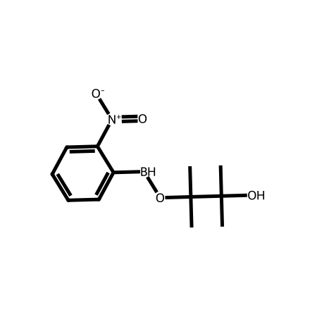 CC(C)(O)C(C)(C)OBc1ccccc1[N+](=O)[O-]